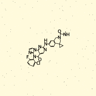 CNC(=O)N1Cc2cc(Nc3ncc4c(=O)n(-c5c(F)cccc5Cl)c5nccn5c4n3)ccc2C2(CC2)C1